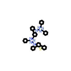 c1ccc(-c2nc(-c3ccccc3)nc(-n3c4ccccc4c4cc(-c5nc(-c6ccccc6)nc(-n6c7ccccc7c7c8sc9ccccc9c8ccc76)n5)ccc43)n2)cc1